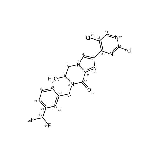 CC1Cn2cc(-c3nc(Cl)ncc3Cl)nc2C(=O)N1Cc1cccc(C(F)F)n1